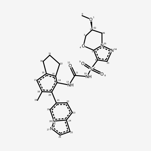 CO[C@@H]1COc2c(S(=O)(=O)NC(=O)Nc3c4c(cc(C)c3-c3ccc5ccnn5c3)CCC4)cnn2C1